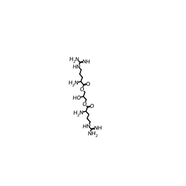 N=C(N)NCCCC(N)C(=O)OCC(O)COC(=O)C(N)CCCNC(=N)N